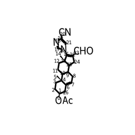 CC(=O)O[C@H]1CC[C@@]2(C)C(=CCC3C2CC[C@]2(C)C(n4cnc(C#N)c4)=C(C=O)CC32)C1